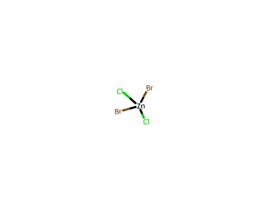 [Cl][Zn]([Cl])([Br])[Br]